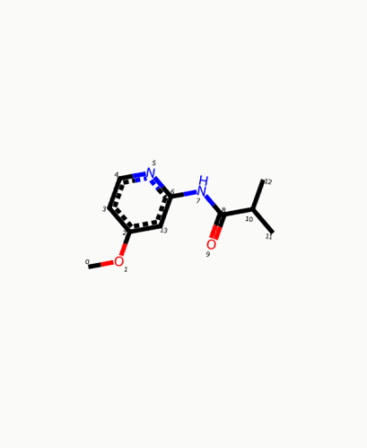 COc1ccnc(NC(=O)C(C)C)c1